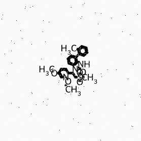 CCON1C=C(OC)C=CC1C(CS(C)(=O)=O)n1c(=O)[nH]c2c(-c3ccccc3C)cccc21